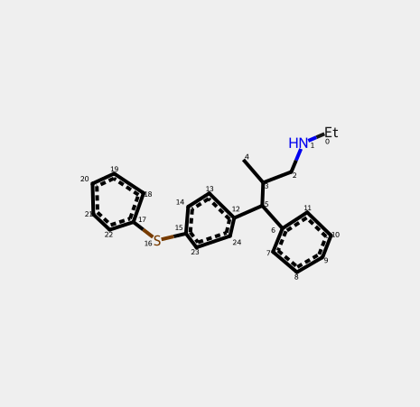 CCNCC(C)C(c1ccccc1)c1ccc(Sc2ccccc2)cc1